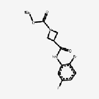 CC(C)(C)OC(=O)N1CC(C(=O)Nc2cc(F)ccc2Br)C1